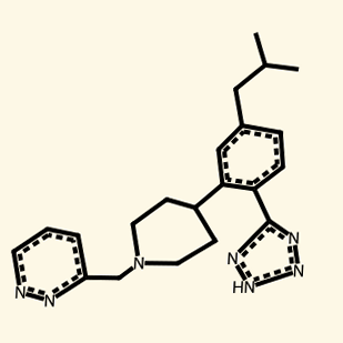 CC(C)Cc1ccc(-c2nn[nH]n2)c(C2CCN(Cc3cccnn3)CC2)c1